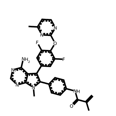 C=C(C)C(=O)Nc1ccc(-c2c(-c3cc(F)c(Oc4nccc(C)n4)c(F)c3)c3c(N)ncnc3n2C)cc1